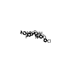 Cc1cc(Oc2cccc(Cl)c2)ccc1-n1ncc(C(=O)c2cc3cc(F)c(C4CCN(C(C)C)CC4)cc3[nH]2)c1N